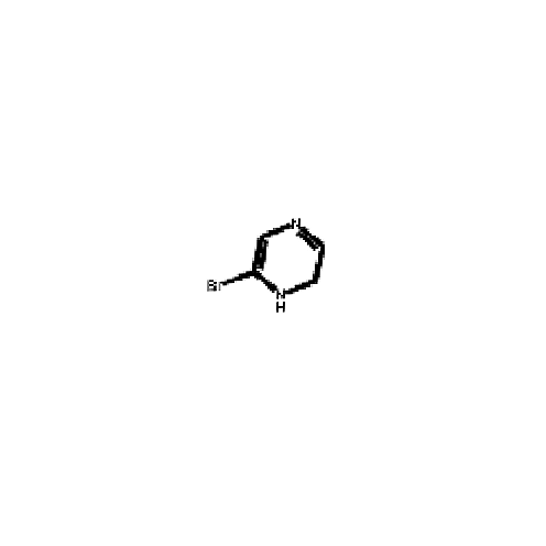 BrC1=CN=CCN1